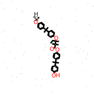 CCC(C)(Oc1ccc(C(C)(C)c2ccc(O[SiH](C)C)cc2)cc1)C(C)(C)C(=O)Oc1ccc(C(C)(C)c2ccc(O)cc2)cc1